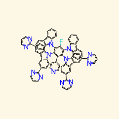 Fc1c(-n2c3ccccc3c3ccccc32)c(-n2c3ccc(-c4ncccn4)cc3c3cc(-c4ncccn4)ccc32)c(-c2ccncc2)c(-n2c3ccc(-c4ncccn4)cc3c3cc(-c4ncccn4)ccc32)c1-n1c2ccccc2c2ccccc21